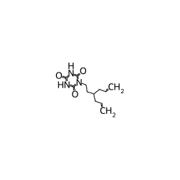 C=CCC(CC=C)CCn1c(=O)[nH]c(=O)[nH]c1=O